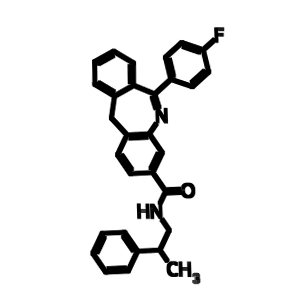 CC(CNC(=O)c1ccc2c(c1)N=C(c1ccc(F)cc1)c1ccccc1C2)c1ccccc1